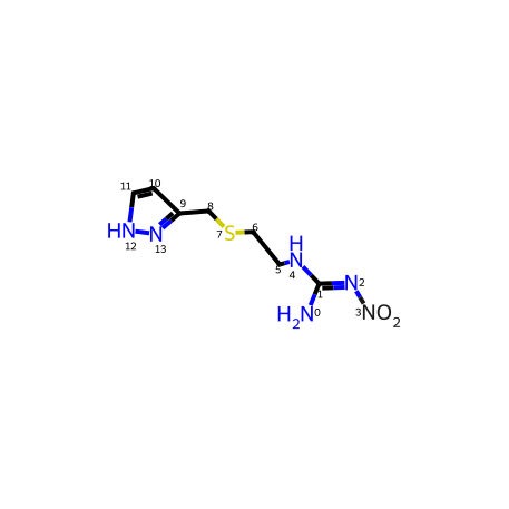 N/C(=N\[N+](=O)[O-])NCCSCc1cc[nH]n1